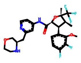 COc1c([C@H]2[C@H](C(=O)Nc3ccnc(C[C@@H]4COCCN4)c3)O[C@@](C)(C(F)(F)F)[C@H]2C)ccc(F)c1F